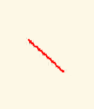 NCCNCCNCCNCCNCCNCCNCCNCCNCCNCCNCCNCCNCCNCCNCCNCCN